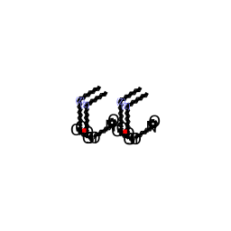 CCCCCCCC/C=C\CCCCCCCCOC(=O)C(C)(C)CC(OCCCCCCCC/C=C\CCCCCCCC)O[Si](C)(C)OCCCCCCN1CCOCC1.CCCCCCCC/C=C\CCCCCCCCOC(=O)C(C)(C)CC(OCCCCCCCC/C=C\CCCCCCCC)O[Si](C)(C)OCCCCCCN1CCOCC1